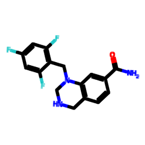 NC(=O)c1ccc2c(c1)N(Cc1c(F)cc(F)cc1F)CNC2